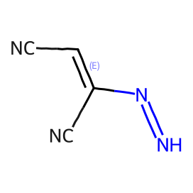 N#C/C=C(\C#N)N=N